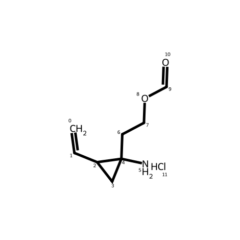 C=CC1CC1(N)CCOC=O.Cl